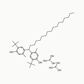 CCCCCCCCCCCCCCCCC(c1cc(C(C)(C)C)c(O)cc1C)c1cc(C(C)(C)C)c(O)cc1C.OP(O)O.OP(O)O